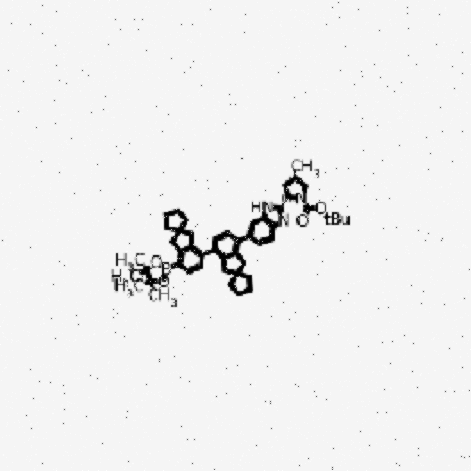 C[C@H]1C[C@@H](c2nc3ccc(-c4ccc(-c5ccc(B6OC(C)(C)C(C)(C)O6)c6c5CC5(CCCC5)C6)c5c4CC4(CCCC4)C5)cc3[nH]2)N(C(=O)OC(C)(C)C)C1